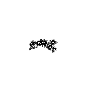 COc1cc2c(Nc3ccc(OC(CF)CF)c(C4=CC(=O)C=CC4=O)c3)ncnc2cc1OCC1CCCCO1